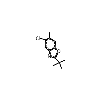 Cc1cc2oc(C(C)(C)C)nc2cc1Cl